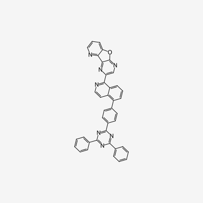 c1ccc(-c2nc(-c3ccccc3)nc(-c3ccc(-c4cccc5c(-c6cnc7oc8cccnc8c7n6)nccc45)cc3)n2)cc1